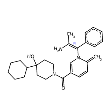 C=C1C=CC(C(=O)N2CCC(O)(C3CCCCC3)CC2)=CN1/C(=C(/C)N)c1ccccc1